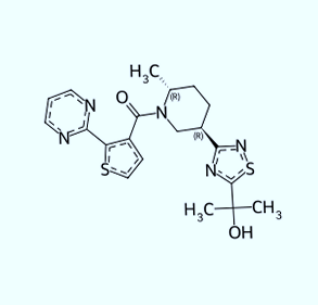 C[C@@H]1CC[C@@H](c2nsc(C(C)(C)O)n2)CN1C(=O)c1ccsc1-c1ncccn1